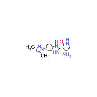 Cc1cc(C)n(-c2ccc(NC(=N)c3c(N)cc[nH]c3=O)cc2)n1